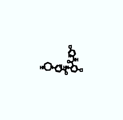 O=C(Nc1ccc(Cl)cc1C(=O)Nc1ccc(Cl)cn1)c1ccc(N2CCCNCC2)cn1